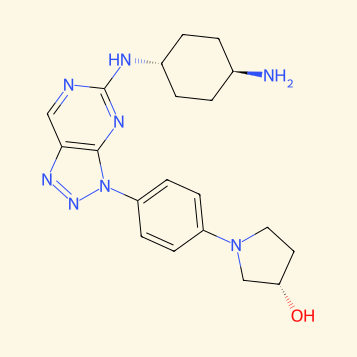 N[C@H]1CC[C@H](Nc2ncc3nnn(-c4ccc(N5CC[C@H](O)C5)cc4)c3n2)CC1